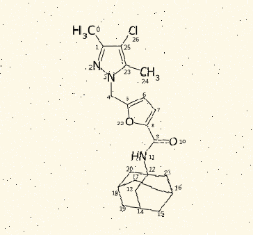 Cc1nn(Cc2ccc(C(=O)NC34CC5CC(CC(C5)C3)C4)o2)c(C)c1Cl